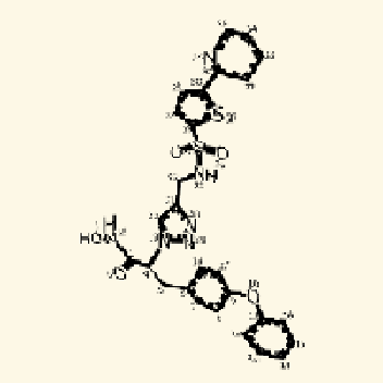 O=C(NO)[C@H](Cc1ccc(Oc2ccccc2)cc1)n1cc(CNS(=O)(=O)c2ccc(-c3ccccn3)s2)nn1